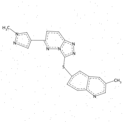 Cc1cnc2ccc(Sc3nnc4ccc(-c5cnn(C)c5)nn34)cc2c1